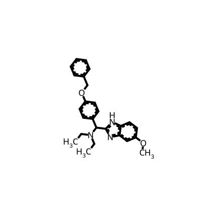 CCN(CC)C(c1ccc(OCc2ccccc2)cc1)c1nc2cc(OC)ccc2[nH]1